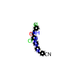 N#Cc1ccc(CN2CCC(N3CCN(c4ncc(C(=O)NCc5cccc(Cl)c5)cc4Cl)CC3)CC2)cc1